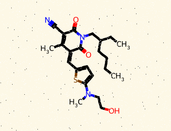 CCCCC(CC)CN1C(=O)C(=Cc2ccc(N(C)CCO)s2)C(C)=C(C#N)C1=O